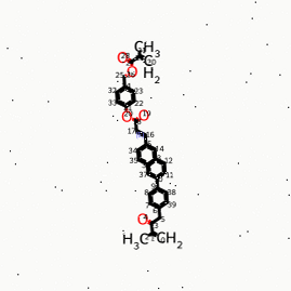 C=C(C)C(=O)Cc1ccc(-c2ccc3cc(/C=C/C(=O)Oc4ccc(COC(=O)C(=C)C)cc4)ccc3c2)cc1